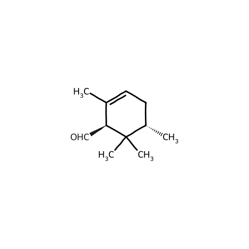 CC1=CC[C@H](C)C(C)(C)[C@H]1C=O